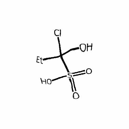 CCC(O)(Cl)S(=O)(=O)O